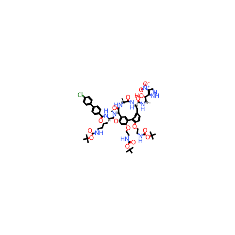 C[C@@H]1NC(=O)[C@@H](N(C)C(=O)[C@H](CCCCNC(=O)OC(C)(C)C)NC(=O)c2ccc(-c3ccc(Cl)cc3)cc2)c2ccc(OCCNC(=O)OC(C)(C)C)c(c2)-c2cc(ccc2OCCNC(=O)OC(C)(C)C)C[C@@H](C(=O)N[C@@H](C)C(O)c2[nH]ncc2[N+](=O)[O-])NC1=O